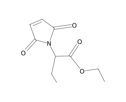 CCOC(=O)C(CC)N1C(=O)C=CC1=O